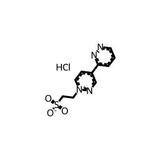 Cl.O=S(=O)([O-])CC[n+]1ccc(-c2cccnn2)cn1